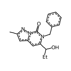 CCC(O)c1cc2cc(C)nn2c(=O)n1Cc1ccccc1